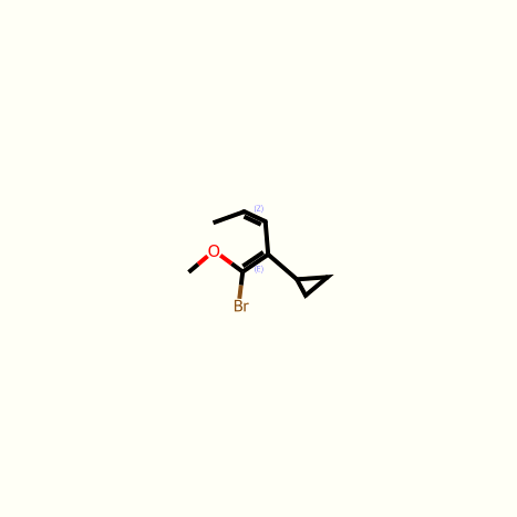 C/C=C\C(=C(\Br)OC)C1CC1